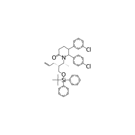 C=CC[C@@H](CO[Si](c1ccccc1)(c1ccccc1)C(C)(C)C)[C@@H](C)N1C(=O)CCC(c2cccc(Cl)c2)C1c1ccc(Cl)cc1